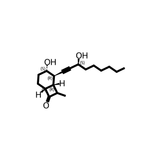 CCCCCC[C@H](O)C#C[C@H]1[C@@H]2C(C)C(=O)[C@@H]2CC[C@@H]1O